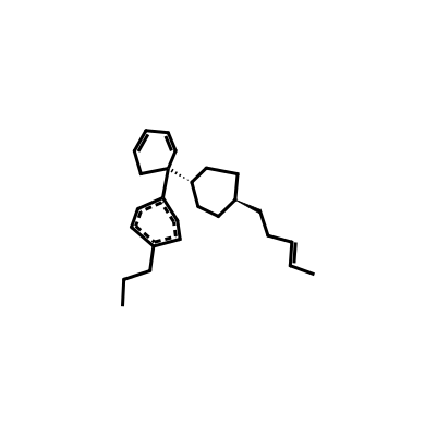 CC=CCC[C@H]1CC[C@H](C2(c3ccc(CCC)cc3)C=CC=CC2)CC1